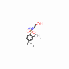 Cc1ccc(S(=O)(=O)NCCO)c(C)c1